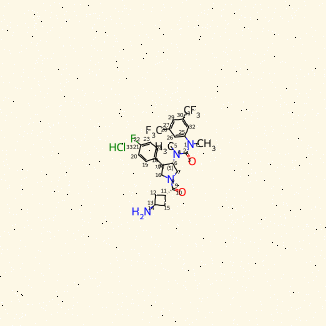 CN(C(=O)N(C)[C@@H]1CN(C(=O)[C@H]2C[C@H](N)C2)C[C@H]1c1ccc(F)cc1)c1cc(C(F)(F)F)cc(C(F)(F)F)c1.Cl